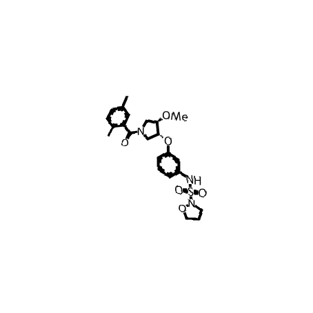 CO[C@@H]1CN(C(=O)c2cc(C)ccc2C)C[C@H]1Oc1cccc(NS(=O)(=O)N2CCCO2)c1